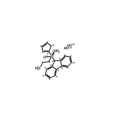 CC[CH2][Zr](=[SiH2])([Cl])([C]1=CC=CC1)[CH]1c2ccccc2-c2ccccc21.Cl.Cl